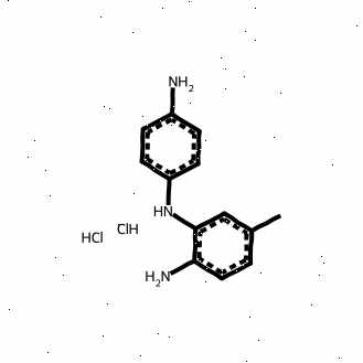 Cc1ccc(N)c(Nc2ccc(N)cc2)c1.Cl.Cl